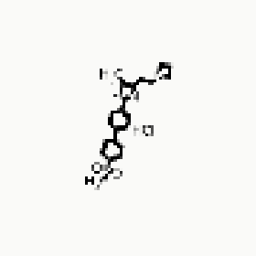 Cc1oc(-c2ccc(-c3ccc(S(C)(=O)=O)cc3)cc2)nc1CCN1CCC1.Cl